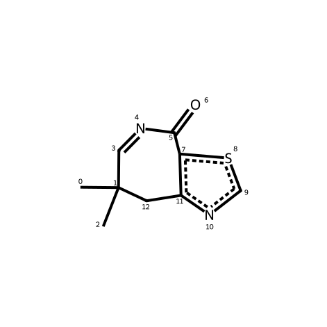 CC1(C)C=NC(=O)c2scnc2C1